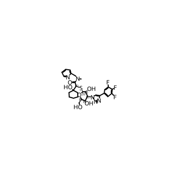 CN(Cc1ccccn1)C(=O)[C@@H](S[C@@H]1O[C@H](CO)[C@H](O)[C@H](n2cc(-c3cc(F)c(F)c(F)c3)nn2)[C@H]1O)C1(O)CCCCC1